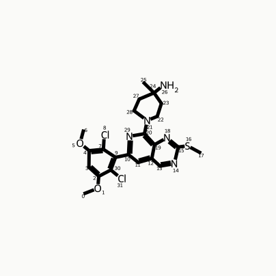 COc1cc(OC)c(Cl)c(-c2cc3cnc(SC)nc3c(N3CCC(C)(N)CC3)n2)c1Cl